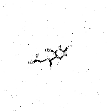 C=C(Cl)COC(=O)C1=C(C)NC(=S)NC1